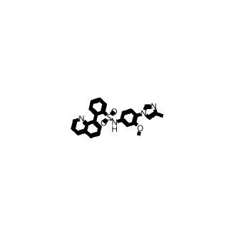 COc1cc(NS(=O)(=O)c2ccccc2-c2cccc3cccnc23)ccc1-n1cnc(C)c1